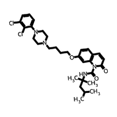 CC(C)CC(C)(C)NC(=O)n1c(=O)ccc2ccc(OCCCCN3CCN(c4cccc(Cl)c4Cl)CC3)cc21